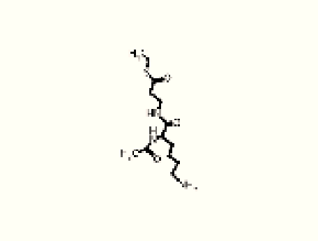 CCSC(=O)CCNC(=O)C(CCCCN)NC(C)=O